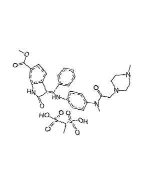 CC(S(=O)(=O)O)S(=O)(=O)O.COC(=O)c1ccc2c(c1)NC(=O)/C2=C(\Nc1ccc(N(C)C(=O)CN2CCN(C)CC2)cc1)c1ccccc1